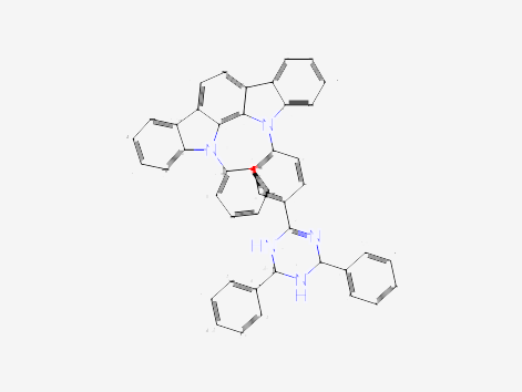 c1ccc(C2N=C(c3ccc(-n4c5ccccc5c5ccc6c7ccccc7n(-c7ccccc7)c6c54)cc3)NC(c3ccccc3)N2)cc1